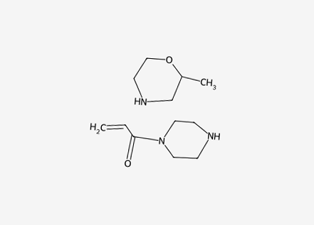 C=CC(=O)N1CCNCC1.CC1CNCCO1